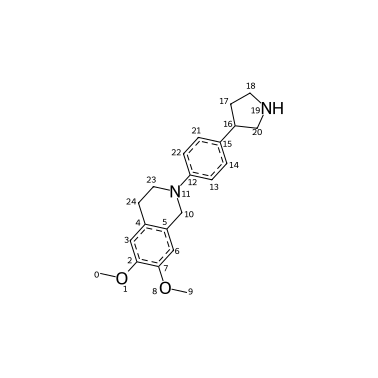 COc1cc2c(cc1OC)CN(c1ccc(C3CCNC3)cc1)CC2